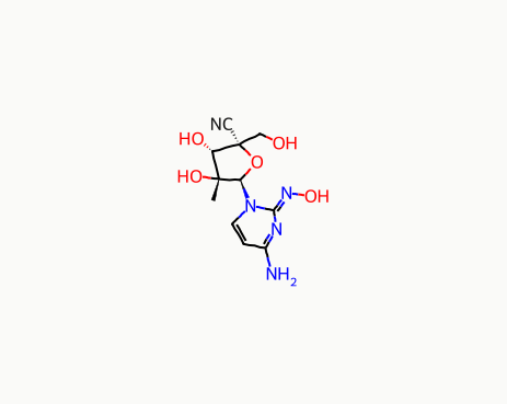 C[C@]1(O)[C@H](n2ccc(N)n/c2=N\O)O[C@](C#N)(CO)[C@H]1O